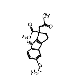 COc1ccc2[nH]c3c(c2c1)CCC3(CC(=O)O)C(=O)O